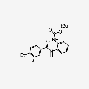 CCc1ccc(C(=O)Nc2ccccc2NC(=O)OC(C)(C)C)cc1F